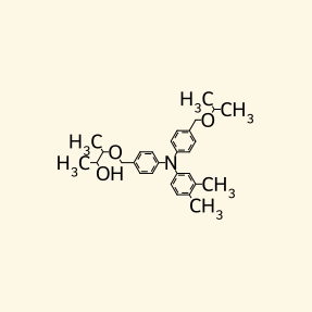 Cc1ccc(N(c2ccc(COC(C)C)cc2)c2ccc(COC(C)C(C)O)cc2)cc1C